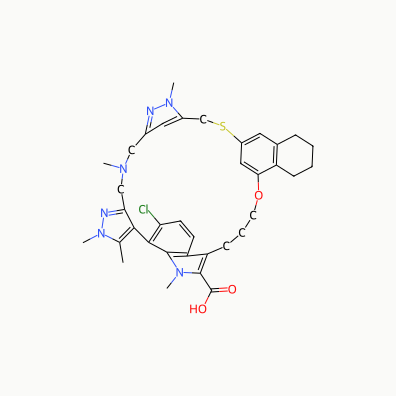 Cc1c2c(nn1C)CN(C)Cc1cc(n(C)n1)CSc1cc3c(c(c1)OCCCc1c(C(=O)O)n(C)c4c-2c(Cl)ccc14)CCCC3